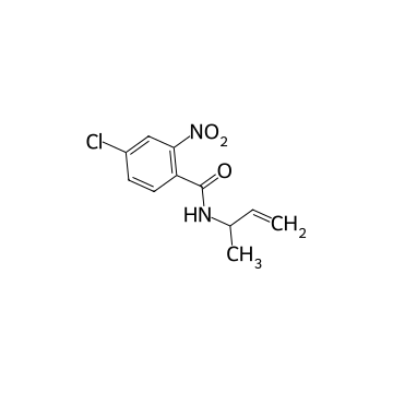 C=CC(C)NC(=O)c1ccc(Cl)cc1[N+](=O)[O-]